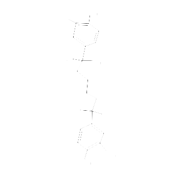 Cc1ccc(C(C)(C)CCCCC(C)(C)c2ccc(C)c(C)c2)cc1C